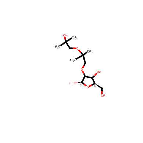 B[C@@H]1O[C@H](CO)C(O)C1OCC(C)(C)OCC(C)(C)O